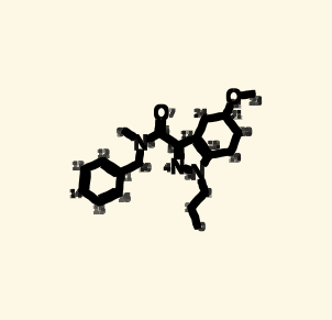 CCCn1nc(C(=O)N(C)Cc2ccccc2)c2c1CCC(OC)C2